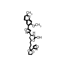 COc1cc2nc(C)ccc2cc1-c1cc([C@H](CCCCCC2(c3ccon3)OCCO2)NC(=O)O)no1